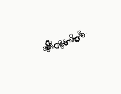 O=C(NCc1ccc(S(=O)(=O)N2CCC(Nc3ncccc3[N+](=O)[O-])CC2)s1)c1cccc([N+](=O)[O-])c1